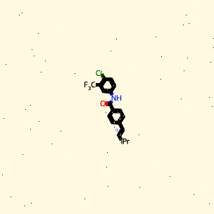 CC(C)/C=C/c1ccc(C(=O)Nc2ccc(Cl)c(C(F)(F)F)c2)cc1